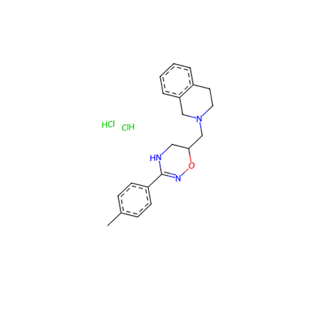 Cc1ccc(C2=NOC(CN3CCc4ccccc4C3)CN2)cc1.Cl.Cl